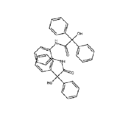 O=C(Nc1ccccc1NC(=O)C(O)(c1ccccc1)c1ccccc1)C(O)(c1ccccc1)c1ccccc1